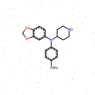 COc1ccc(N(c2ccc3c(c2)OCO3)C2CCNCC2)cc1